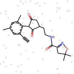 C#Cc1cc(C)cc(C)c1C1C(=O)CC(CCNC(=O)C2=NOC(C)(C)C2)C1=O